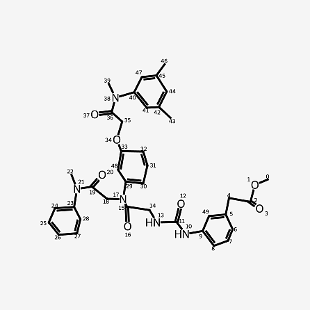 COC(=O)Cc1cccc(NC(=O)NCC(=O)N(CC(=O)N(C)c2ccccc2)c2cccc(OCC(=O)N(C)c3cc(C)cc(C)c3)c2)c1